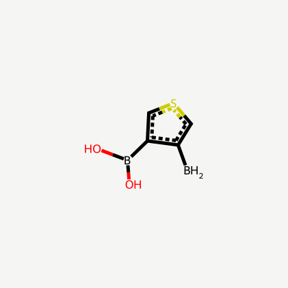 Bc1cscc1B(O)O